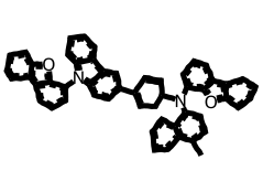 Cc1ccc(N(c2cccc3c2oc2ccccc23)C2C=CC(c3ccc4c(c3)c3ccccc3n4-c3cccc4c3oc3ccccc34)=CC2)c2ccccc12